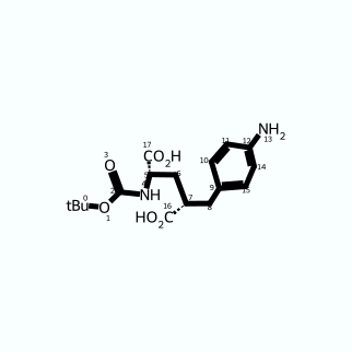 CC(C)(C)OC(=O)N[C@@H](C[C@H](Cc1ccc(N)cc1)C(=O)O)C(=O)O